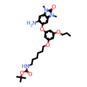 CCCOc1cc(OCCCCCCNC(=O)OC(C)(C)C)cc(Oc2cc3c(cc2N)n(C)c(=O)n3C)c1